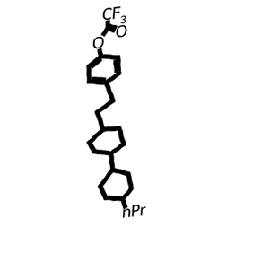 CCCC1CCC(C2CCC(CCc3ccc(OC(=O)C(F)(F)F)cc3)CC2)CC1